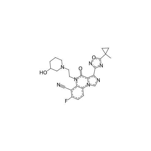 CC1(c2nc(-c3ncn4c3c(=O)n(CCN3CCCC(O)C3)c3c(C#N)c(F)ccc34)no2)CC1